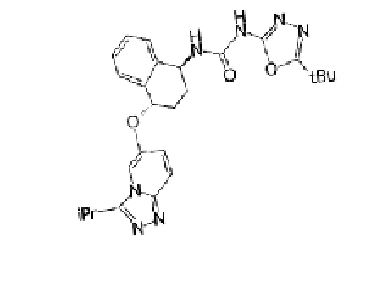 CC(C)c1nnc2ccc(O[C@H]3CC[C@H](NC(=O)Nc4nnc(C(C)(C)C)o4)c4ccccc43)cn12